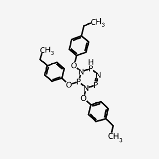 CCc1ccc(On2pn[pH]n(Oc3ccc(CC)cc3)p2Oc2ccc(CC)cc2)cc1